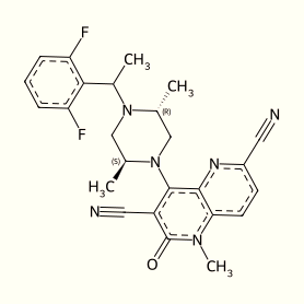 CC(c1c(F)cccc1F)N1C[C@H](C)N(c2c(C#N)c(=O)n(C)c3ccc(C#N)nc23)C[C@H]1C